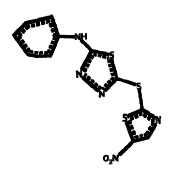 O=[N+]([O-])c1cnc(Sc2nnc(Nc3ccccc3)s2)s1